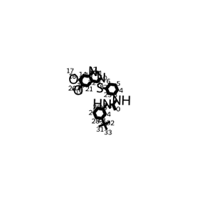 C=C(Nc1cccc(Sc2ncnc3cc(OC)c(OC)cc23)c1)Nc1cccc(C(C)(C)C)c1